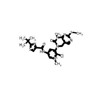 CSc1ncc2c(n1)N(C)C(=O)N(c1cc(NC(=O)c3csc(C(C)(C)C)n3)c[n+](C)c1Cl)C2